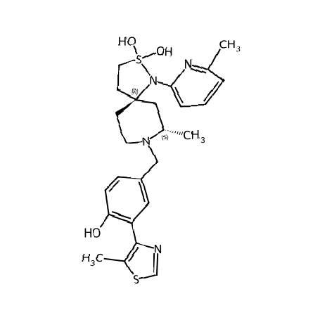 Cc1cccc(N2[C@@]3(CCN(Cc4ccc(O)c(-c5ncsc5C)c4)[C@@H](C)C3)CCS2(O)O)n1